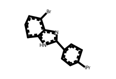 CC(C)c1ccc(-c2nc3c(Br)cccc3[nH]2)cc1